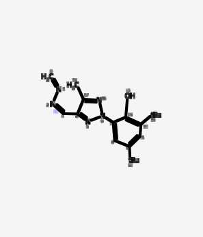 C=N/N=C\c1nn(-c2cc(C(C)(C)C)cc(C(C)(C)C)c2O)nc1C